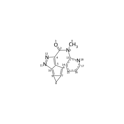 CN(C(=O)C1=C2C=C3CC3=C2N=N1)c1ccccn1